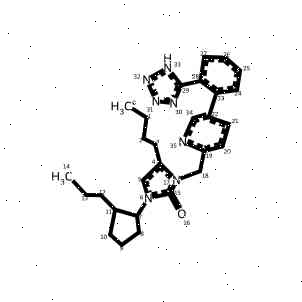 CCCCc1cn(C2CCCC2CCC)c(=O)n1Cc1ccc(-c2ccccc2-c2nnn[nH]2)cn1